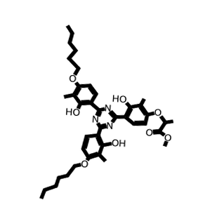 CCCCCCOc1ccc(-c2nc(-c3ccc(OCCCCCC)c(C)c3O)nc(-c3ccc(OC(C)C(=O)OC)c(C)c3O)n2)c(O)c1C